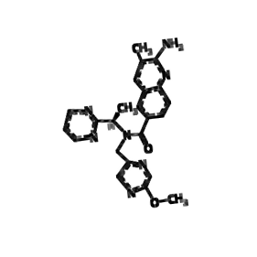 COc1cnc(CN(C(=O)c2ccc3nc(N)c(C)cc3c2)[C@H](C)c2ncccn2)cn1